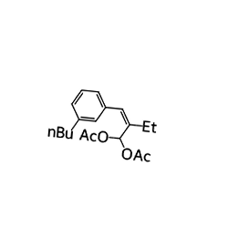 CCCCc1cccc(C=C(CC)C(OC(C)=O)OC(C)=O)c1